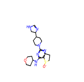 [O-][S+]1CCc2nc(N3CCC(C4CNC=N4)CC3)nc(NC3CCOCC3)c21